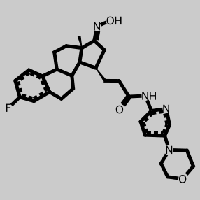 C[C@]12CCC3c4ccc(F)cc4CCC3C1[C@H](CCC(=O)Nc1ccc(N3CCOCC3)cn1)C/C2=N\O